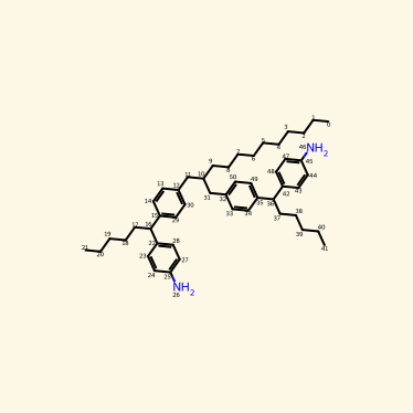 CCCCCCCCCCC(Cc1ccc(C(CCCCC)c2ccc(N)cc2)cc1)Cc1ccc(C(CCCCC)c2ccc(N)cc2)cc1